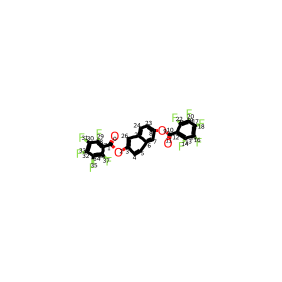 O=C(Oc1ccc2cc(OC(=O)c3c(F)c(F)c(F)c(F)c3F)ccc2c1)c1c(F)c(F)c(F)c(F)c1F